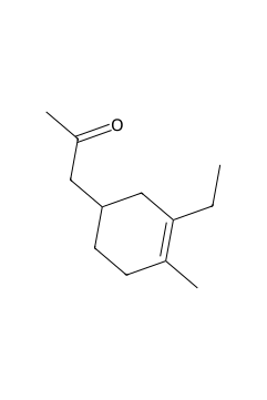 CCC1=C(C)CCC(CC(C)=O)C1